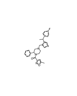 Cc1cc(C(=O)N2CCN(Cc3cncn3C(C)c3ccc(F)cc3)CC2c2ccccc2)no1